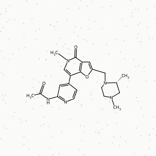 CC(=O)Nc1cc(-c2cn(C)c(=O)c3cc(CN4CCN(C)C[C@H]4C)oc23)ccn1